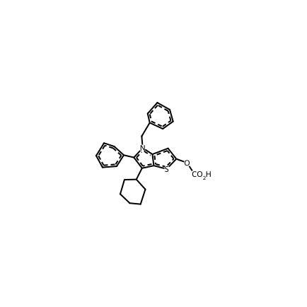 O=C(O)Oc1cc2c(s1)c(C1CCCCC1)c(-c1ccccc1)n2Cc1ccccc1